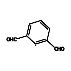 O=Cc1[c]c(C=O)ccc1